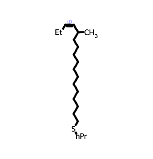 CC/C=C\C(C)CCCCCCCCCCCCSCCC